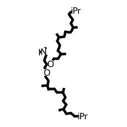 CC(C)CCCC(C)CCCC(C)CCCC(C)CCOCC(CCN(C)I)OCCC(C)CCCC(C)CCCC(C)CCCC(C)C